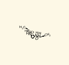 CC#CCNC(=O)Nc1cccc(NC(=O)NCC#CC)c1